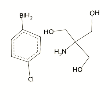 Clc1cc[c]([BiH2])cc1.NC(CO)(CO)CO